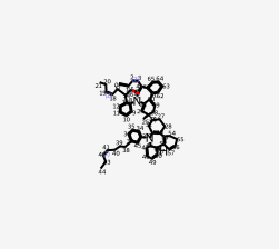 C=C/C=C\C1=C(C)N(c2ccccc2C(CC)C/C=C\CC)C2=CC(C)([C@@H]3CCC4=C(C3)N(c3cccc(CCC/C=C\CC)c3)C3C=CC=C[C@H]3C3=C4CCC=C3)CC=C2c2ccccc21